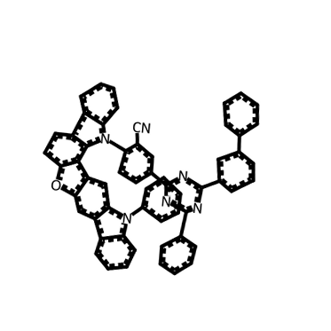 N#Cc1cc(-c2nc(-c3ccccc3)nc(-c3cccc(-c4ccccc4)c3)n2)ccc1-n1c2ccccc2c2ccc3oc4cc5c6ccccc6n(-c6ccccc6)c5cc4c3c21